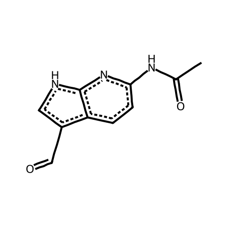 CC(=O)Nc1ccc2c(C=O)c[nH]c2n1